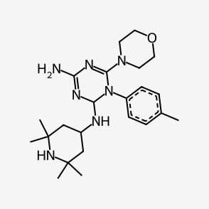 Cc1ccc(N2C(N3CCOCC3)=NC(N)=NC2NC2CC(C)(C)NC(C)(C)C2)cc1